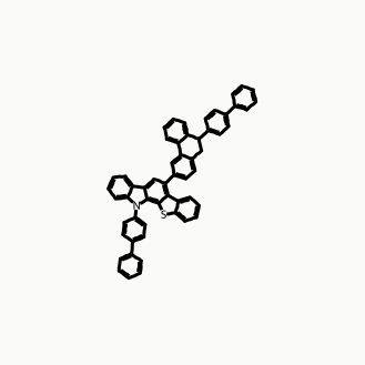 c1ccc(-c2ccc(C3Cc4ccc(-c5cc6c7ccccc7n(-c7ccc(-c8ccccc8)cc7)c6c6sc7ccccc7c56)cc4-c4ccccc43)cc2)cc1